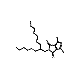 CCCCCCCC(CCCCCC)CN1C(=O)c2c(C)sc(C)c2C1=O